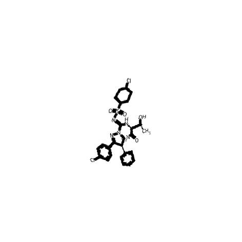 C[C@@H](O)[C@H](N/C(=N\S(=O)(=O)C1CCC(Cl)CC1)N1C[C@@H](c2ccccc2)C(c2ccc(Cl)cc2)=N1)C(N)=O